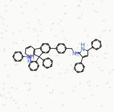 C1=CC2=C(NC1)C(c1ccccc1)(c1ccccc1Nc1ccccc1)c1cc(-c3ccc(C/N=C4\NC(c5ccccc5)C=C4c4ccccc4)cc3)ccc12